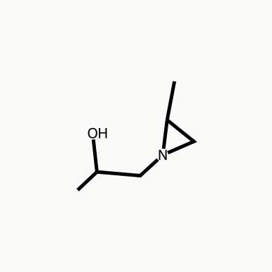 CC(O)CN1CC1C